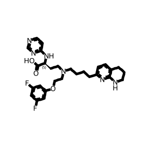 O=C(O)[C@H](CCN(CCCCc1ccc2c(n1)NCCC2)CCOc1cc(F)cc(F)c1)Nc1ccncn1